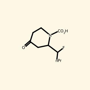 CCCC(F)C1CC(=O)CCN1C(=O)O